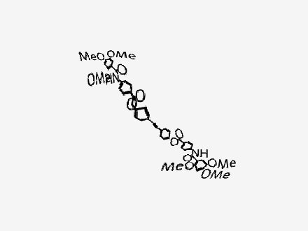 COc1cc(OC)c(C(=O)Nc2ccc(C(=O)Oc3ccc(C#Cc4ccc(OC(=O)c5ccc(NC(=O)c6cc(OC)c(OC)cc6OC)cc5)cc4)cc3)cc2)cc1OC